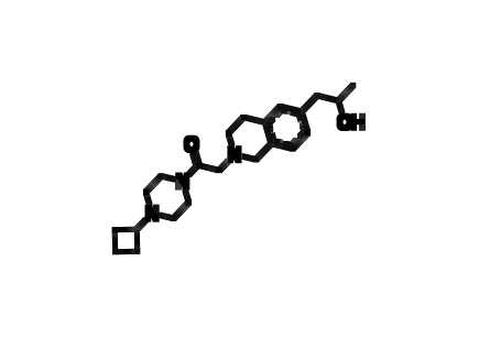 CC(O)Cc1ccc2c(c1)CCN(CC(=O)N1CCN(C3CCC3)CC1)C2